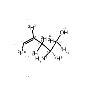 [2H]C=C([2H])C([2H])([2H])[C@]([2H])(N)C([2H])([2H])O